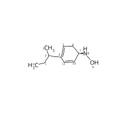 CCC(C)C1=CC[C@@H](NO)C=C1